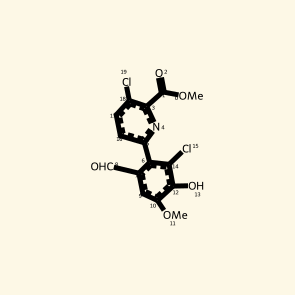 COC(=O)c1nc(-c2c(C=O)cc(OC)c(O)c2Cl)ccc1Cl